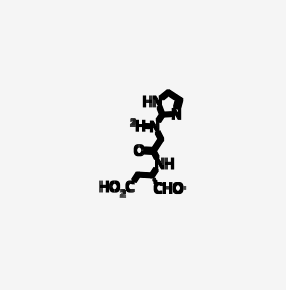 [2H]N(CC(=O)N[C@H]([C]=O)CC(=O)O)C1N=CCN1